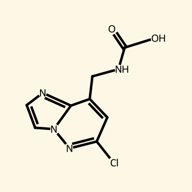 O=C(O)NCc1cc(Cl)nn2ccnc12